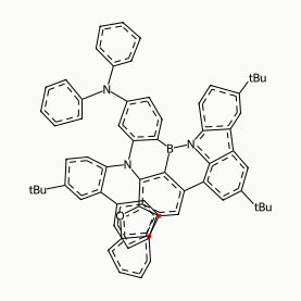 CC(C)(C)c1ccc(N2c3cc(N(c4ccccc4)c4ccccc4)ccc3B3c4c(cc5c(oc6ccccc65)c42)-c2cc(C(C)(C)C)cc4c5cc(C(C)(C)C)ccc5n3c24)c(-c2ccccc2)c1